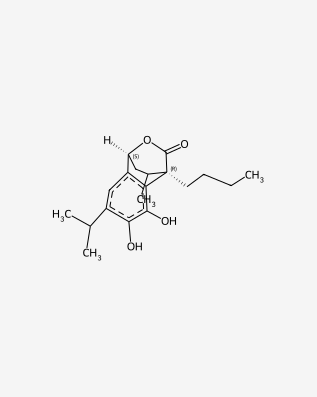 CCCC[C@@]12C(=O)O[C@@H](CC1C)c1cc(C(C)C)c(O)c(O)c12